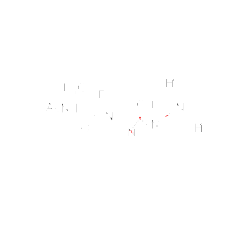 CCC(C)(NC(C)=O)C(=O)N1CCC(CCN2[C@@H]3CC[C@H]2CC(n2c(C)nc4ccccc42)C3)(c2ccccc2)CC1